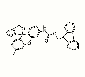 Cc1ccc2c(c1)Oc1cc(NC(=O)OCC3c4ccccc4-c4ccccc43)ccc1C21OCc2ccccc21